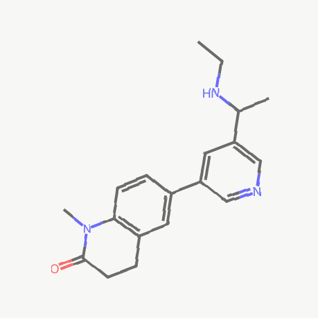 CCNC(C)c1cncc(-c2ccc3c(c2)CCC(=O)N3C)c1